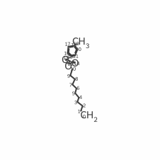 C=CCCCCCCCCCOS(=O)(=O)c1ccc(C)cc1